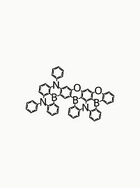 c1ccc(N2c3ccccc3B3c4cc5c(cc4N(c4ccccc4)c4cccc2c43)Oc2cc3c4c6c2B5c2ccccc2N6c2ccccc2B4c2ccccc2O3)cc1